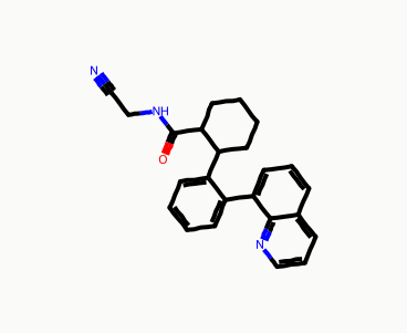 N#CCNC(=O)C1CCCCC1c1ccccc1-c1cccc2cccnc12